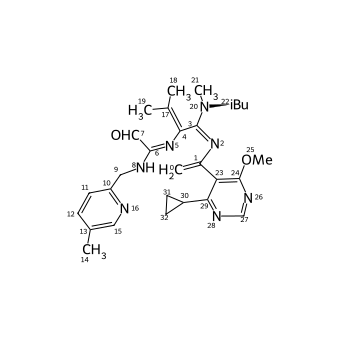 C=C(/N=C(\C(/N=C(\C=O)NCc1ccc(C)cn1)=C(C)C)N(C)[C@H](C)CC)c1c(OC)ncnc1C1CC1